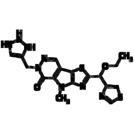 CCOC(c1cscn1)c1nc2c(s1)c1cnn(CC3=CNNN3)c(=O)c1n2C